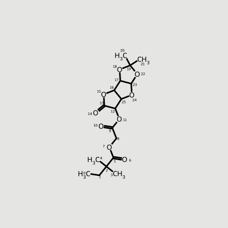 CCC(C)(C)C(=O)OCC(=O)OC1C(=O)OC2C3OC(C)(C)OC3OC12